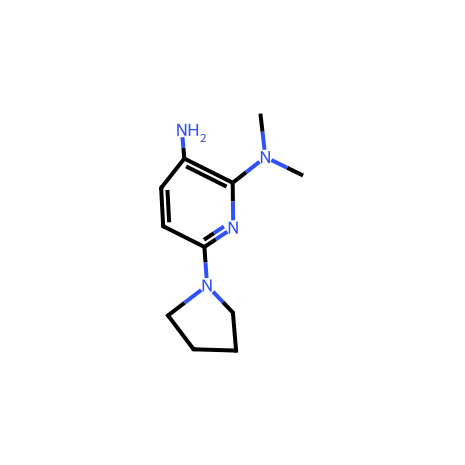 CN(C)c1nc(N2CCCC2)ccc1N